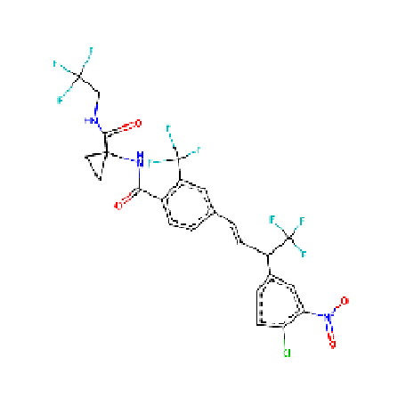 O=C(NC1(C(=O)NCC(F)(F)F)CC1)c1ccc(/C=C/C(c2ccc(Cl)c([N+](=O)[O-])c2)C(F)(F)F)cc1C(F)(F)F